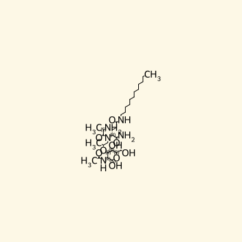 CCCCCCCCCCCCNC(=O)CC[C@H](C(N)=O)N(CC(C)O[C@H]1[C@H](O)[C@@H](CO)O[C@H](O)[C@@H]1NC(C)=O)C(=O)[C@H](C)N